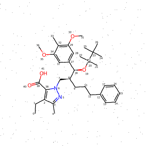 CCc1c(C)nn(C[C@H](CCCc2ccccc2)[C@H](O[Si](C)(C)C(C)(C)C)c2cc(OC)c(C)c(OC)c2)c1C(=O)O